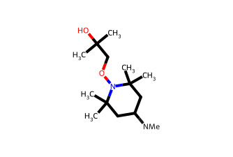 CNC1CC(C)(C)N(OCC(C)(C)O)C(C)(C)C1